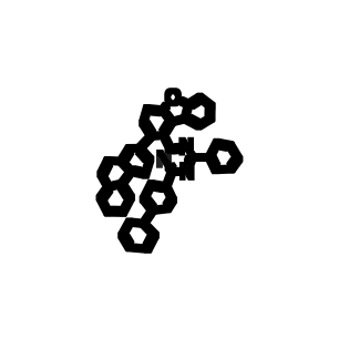 C1=CCC(c2ccc(-c3nc(-c4ccccc4)nc(-c4c(-c5ccc6c(ccc7ccccc76)c5)ccc5oc6ccccc6c45)n3)cc2)C=C1